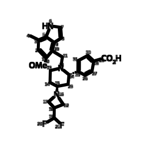 COc1cc(C)c2[nH]ccc2c1CN1CC[C@H](N2CC(C(F)F)C2)C[C@H]1c1ccc(C(=O)O)cc1